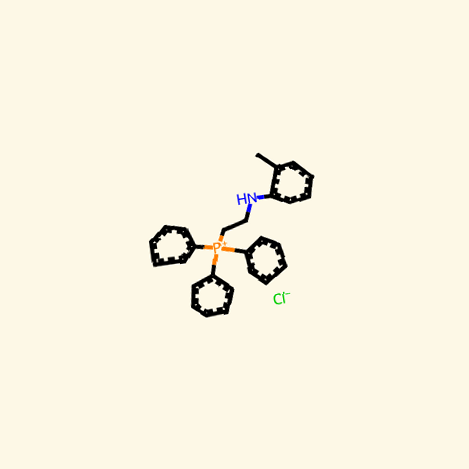 Cc1ccccc1NCC[P+](c1ccccc1)(c1ccccc1)c1ccccc1.[Cl-]